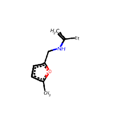 C=C(CC)NCc1ccc(C)o1